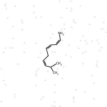 CC(C)/C=C\C/C=C\C=C/N